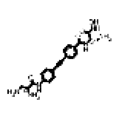 NC[C@H](NC(=O)c1ccc(C#Cc2ccc(NC(=O)[C@@H](N)CN)cc2)cc1)C(=O)NO